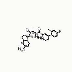 Cc1cc(F)ccc1C1=C[C@@H](C(=O)N[C@@H](C)C(=O)N[C@@H]2CCc3nc(N)ccc32)NCC1